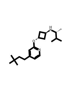 CC(C)[C@@H](C)N[C@H]1C[C@H](Oc2cc(CCC(C)(C)C)ccn2)C1